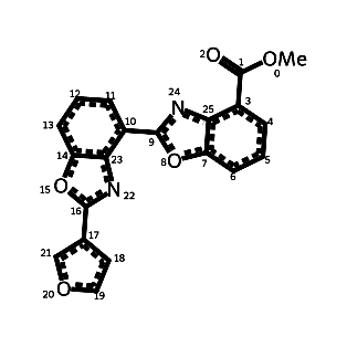 COC(=O)c1cccc2oc(-c3cccc4oc(-c5ccoc5)nc34)nc12